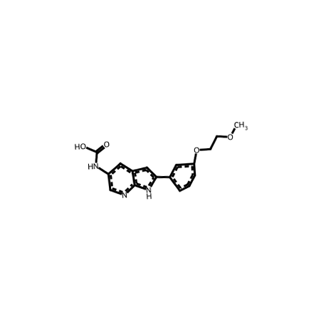 COCCOc1cccc(-c2cc3cc(NC(=O)O)cnc3[nH]2)c1